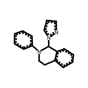 c1ccc(N2CCc3ccccc3C2n2cccn2)cc1